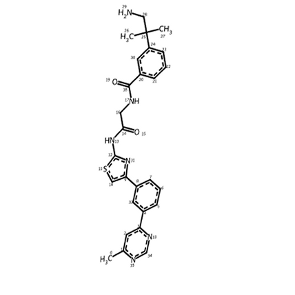 Cc1cc(-c2cccc(-c3csc(NC(=O)CNC(=O)c4cccc(C(C)(C)CN)c4)n3)c2)ncn1